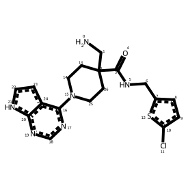 NCC1(C(=O)NCc2ccc(Cl)s2)CCN(c2ncnc3[nH]ccc23)CC1